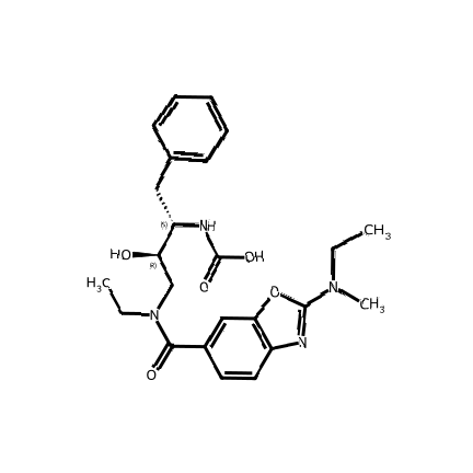 CCN(C[C@@H](O)[C@H](Cc1ccccc1)NC(=O)O)C(=O)c1ccc2nc(N(C)CC)oc2c1